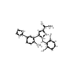 Cc1ccc(-c2nccs2)cc1-c1cc(C(N)=O)nn1Cc1c(F)cccc1F